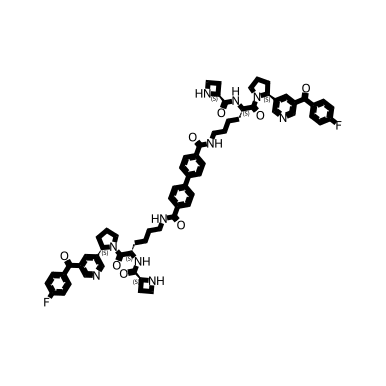 O=C(NCCCC[C@H](NC(=O)[C@@H]1CCN1)C(=O)N1CCC[C@H]1c1cncc(C(=O)c2ccc(F)cc2)c1)c1ccc(-c2ccc(C(=O)NCCCC[C@H](NC(=O)[C@@H]3CCN3)C(=O)N3CCC[C@H]3c3cncc(C(=O)c4ccc(F)cc4)c3)cc2)cc1